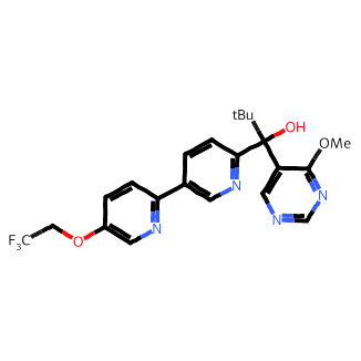 COc1ncncc1C(O)(c1ccc(-c2ccc(OCC(F)(F)F)cn2)cn1)C(C)(C)C